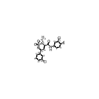 CN1C(C(=O)Nc2ccc(F)c(Cl)c2)=CC(c2cccc(Cl)c2)=NS1(=O)=O